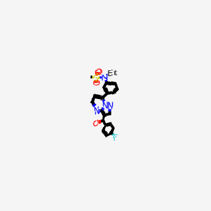 CCN(c1cccc(-c2ccnc3c(C(=O)c4ccc(F)cc4)cnn23)c1)S(C)(=O)=O